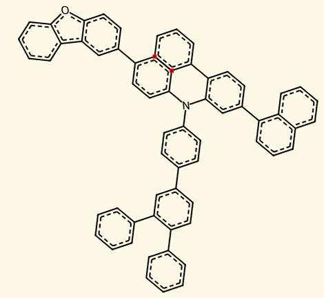 c1ccc(-c2ccc(-c3ccc(N(c4ccc(-c5ccc6oc7ccccc7c6c5)cc4)c4cc(-c5cccc6ccccc56)ccc4-c4ccccc4)cc3)cc2-c2ccccc2)cc1